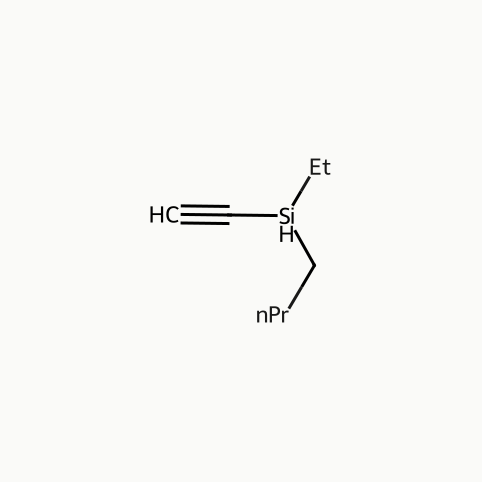 C#C[SiH](CC)CCCC